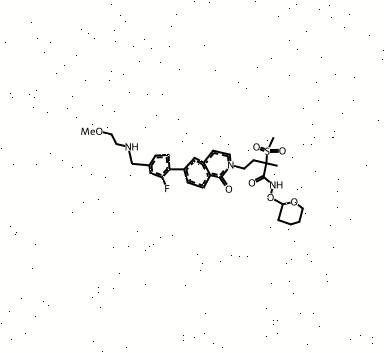 COCCNCc1ccc(-c2ccc3c(=O)n(CCC(C)(C(=O)NOC4CCCCO4)S(C)(=O)=O)ccc3c2)c(F)c1